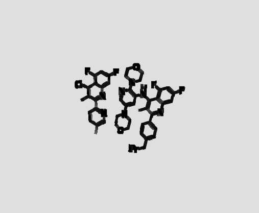 Cc1c(-c2ccc(CC(C)C)cc2)nc2cc(F)cc(F)c2c1Nc1cc(N2CCOCC2)cnc1N1CCOCC1.Cc1ccc(-c2nc3cc(F)cc(F)c3c(Cl)c2C)nc1